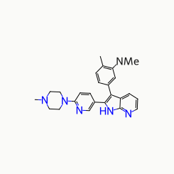 CNc1cc(-c2c(-c3ccc(N4CCN(C)CC4)nc3)[nH]c3ncccc23)ccc1C